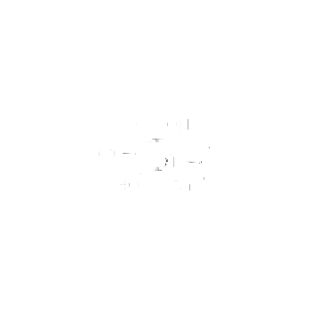 CCC(=O)O.Cc1c(O)cc(C(C)(C)C)c(O)c1C(C)(C)C